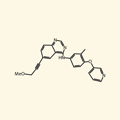 COCC#Cc1ccc2ncnc(Nc3ccc(Oc4cccnc4)c(C)c3)c2c1